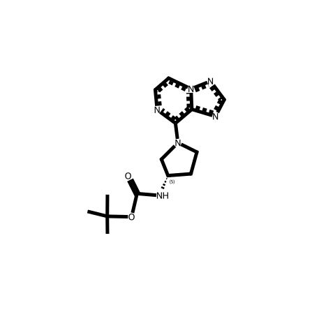 CC(C)(C)OC(=O)N[C@H]1CCN(c2nccn3ncnc23)C1